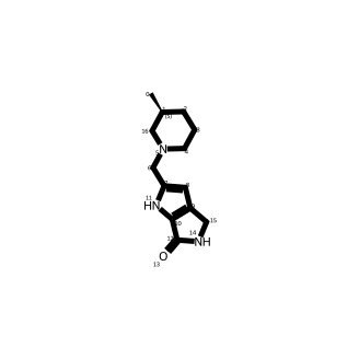 C[C@H]1CCCN(Cc2cc3c([nH]2)C(=O)NC3)C1